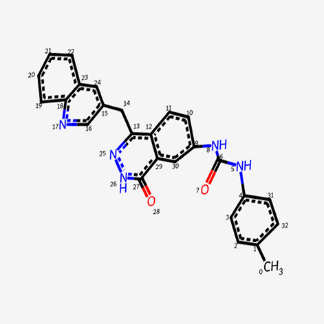 Cc1ccc(NC(=O)Nc2ccc3c(Cc4cnc5ccccc5c4)n[nH]c(=O)c3c2)cc1